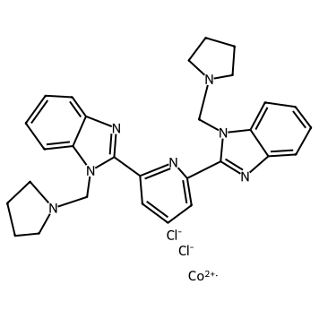 [Cl-].[Cl-].[Co+2].c1cc(-c2nc3ccccc3n2CN2CCCC2)nc(-c2nc3ccccc3n2CN2CCCC2)c1